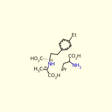 CC(C)CC(N)C(=O)O.CCc1ccc(CC[C@H](N[C@H](C)C(=O)O)C(=O)O)cc1